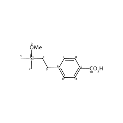 CO[Si](C)(C)CCc1ccc(C(=O)O)cc1